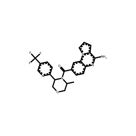 CC1COCC(c2ccc(C(F)(F)F)cn2)N1C(=O)c1ccc2nc(N)c3cccn3c2c1